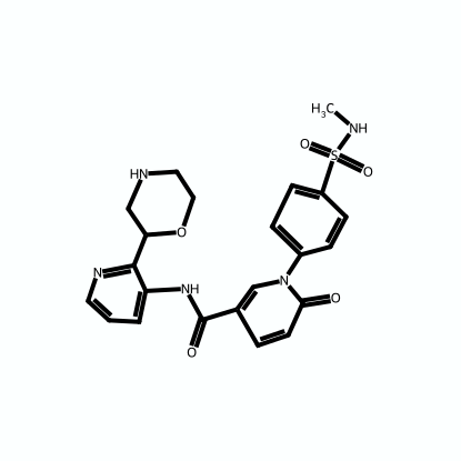 CNS(=O)(=O)c1ccc(-n2cc(C(=O)Nc3cccnc3C3CNCCO3)ccc2=O)cc1